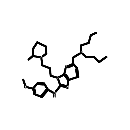 CCCCN(CCCC)Cc1ccc2nc(Nc3ccc(OC)cc3)n(CCCN3CCCCC3C)c2n1